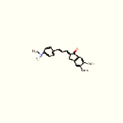 COc1cc2c(cc1OC)C(=O)C(=CC=Cc1ccc(N(C)C)cc1)C2